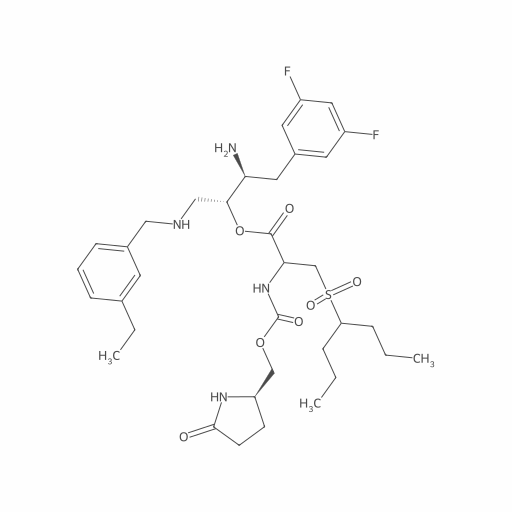 CCCC(CCC)S(=O)(=O)CC(NC(=O)OC[C@H]1CCC(=O)N1)C(=O)O[C@H](CNCc1cccc(CC)c1)[C@@H](N)Cc1cc(F)cc(F)c1